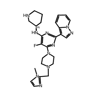 Cn1ccnc1CN1CCN(c2nc(-c3cnn4ccccc34)nc(N[C@@H]3CCCNC3)c2F)CC1